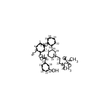 Cc1c(F)cccc1[C@H]1[C@@H](C(=O)c2cccc(O)c2)CN(CCN(C)S(C)(=O)=O)C[C@@H]1c1[c]cccc1O